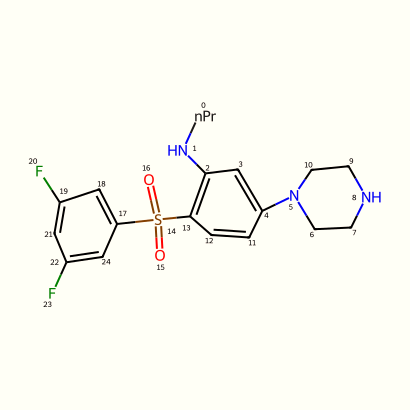 CCCNc1cc(N2CCNCC2)ccc1S(=O)(=O)c1cc(F)cc(F)c1